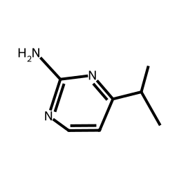 CC(C)c1ccnc(N)n1